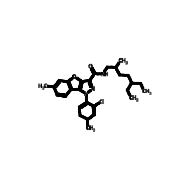 CCC(CC)CCC(C)CNC(=O)c1nn(C2=CCC(C)C=C2Cl)c2c1oc1cc(C)ccc12